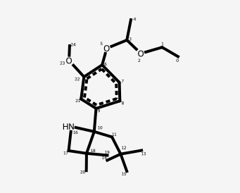 CCOC(C)Oc1ccc(C2(CC(C)(C)C)NCC2(C)C)cc1OC